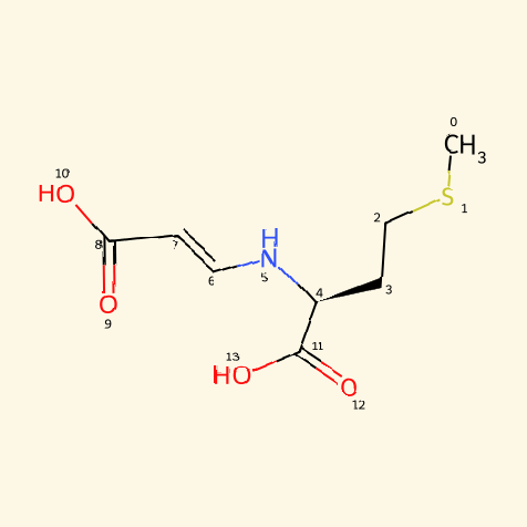 CSCC[C@H](NC=CC(=O)O)C(=O)O